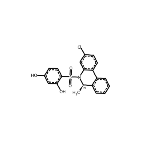 C[C@@H]1c2ccccc2-c2ccc(Cl)cc2N1S(=O)(=O)c1ccc(O)cc1O